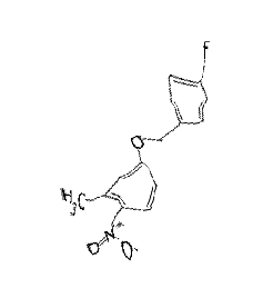 Cc1cc(OCc2ccc(F)cc2)ccc1[N+](=O)[O-]